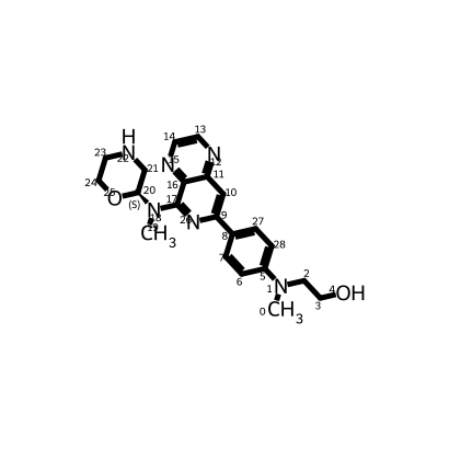 CN(CCO)c1ccc(-c2cc3nccnc3c(N(C)[C@@H]3CNCCO3)n2)cc1